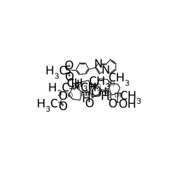 CC(=O)O[C@H]1CC[C@]2(C)[C@H]3C(=O)C=C4[C@@H]5C[C@@](C)(C(=O)O)CC[C@]5(C)CC[C@@]4(C)[C@]3(C)CC[C@H]2C1(C)C.CS(=O)(=O)c1ccc(-c2cn3ccccc3n2)cc1